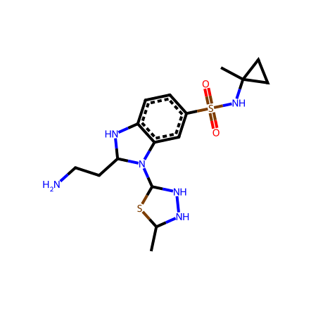 CC1NNC(N2c3cc(S(=O)(=O)NC4(C)CC4)ccc3NC2CCN)S1